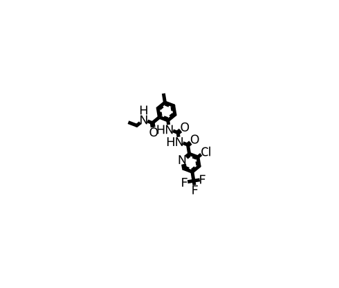 CCNC(=O)c1cc(C)ccc1NC(=O)NC(=O)c1ncc(C(F)(F)F)cc1Cl